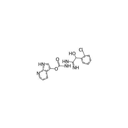 N=C(NNC(=O)Oc1c[nH]c2ncccc12)C(O)c1ccccc1Cl